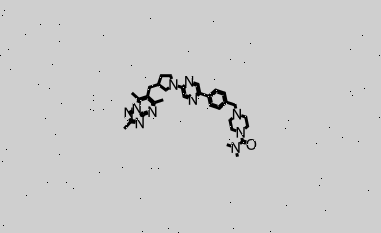 Cc1nc2nc(C)c(CC3CCN(c4cnc(-c5ccc(CN6CCN(C(=O)N(C)C)CC6)cc5)cn4)C3)c(C)n2n1